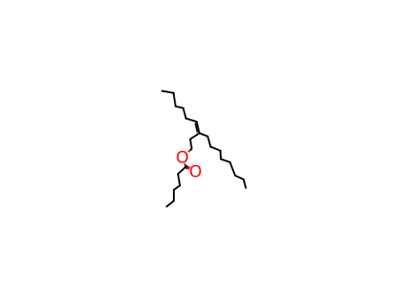 CCCCCC=C(CCCCCCCC)CCOC(=O)CCCCC